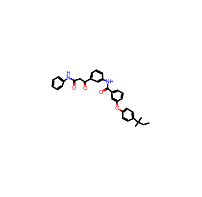 CCC(C)(C)c1ccc(Oc2cccc(C(=O)Nc3cccc(C(=O)CC(=O)Nc4ccccc4)c3)c2)cc1